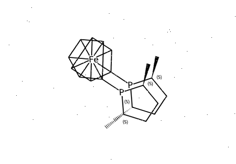 C[C@H]1CC[C@H](C)P1[C]12[CH]3[CH]4[CH]5[CH]1[Fe]45321678[CH]2[CH]1[CH]6[C]7(P1[C@@H](C)CC[C@@H]1C)[CH]28